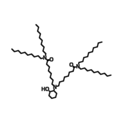 CCCCCCCCCCN(CCCCCCCCCC)C(=O)CCCCCCCN(CCCCCCCC(=O)N(CCCCCCCCCC)CCCCCCCCCC)C1CCCCC1O